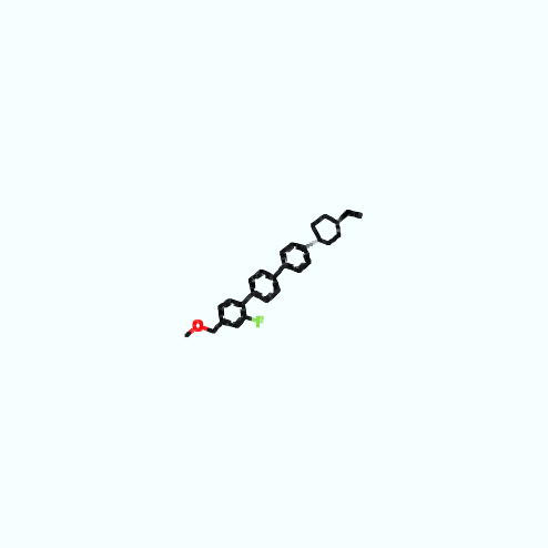 C=C[C@H]1CC[C@H](c2ccc(-c3ccc(-c4ccc(COC)cc4F)cc3)cc2)CC1